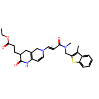 CCOC(=O)CCC1CC2=C(C=CN(/C=C/C(=O)N(C)Cc3sc4ccccc4c3C)C2)NC1=O